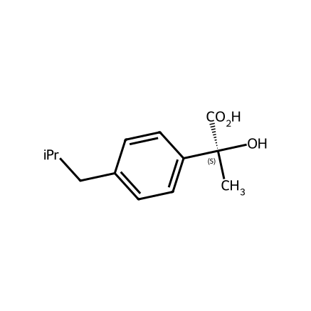 CC(C)Cc1ccc([C@](C)(O)C(=O)O)cc1